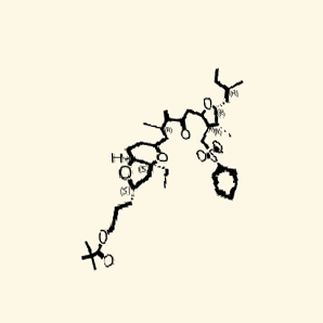 C=C(C(=O)CC1O[C@H](C[C@H](C)CC)[C@H](C)[C@H]1CS(=O)(=O)c1ccccc1)[C@H](C)CC1CC[C@@H]2O[C@@H](CCCOC(=O)C(C)(C)C)C[C@]2(CI)O1